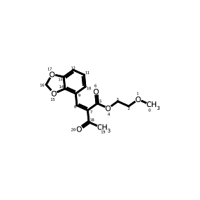 COCCOC(=O)C(=Cc1cccc2c1OCO2)C(C)=O